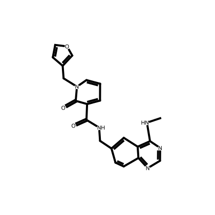 CNc1ncnc2ccc(CNC(=O)c3cccn(Cc4ccoc4)c3=O)cc12